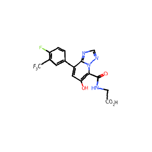 O=C(O)CNC(=O)c1c(O)cc(-c2ccc(F)c(C(F)(F)F)c2)c2ncnn12